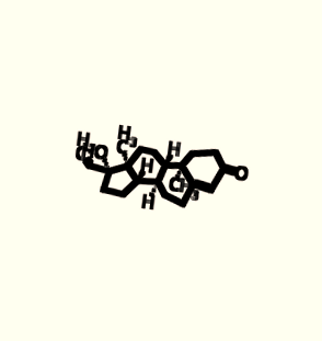 C=C[C@]1(O)CC[C@H]2[C@@H]3CCC4=CC(=O)CC[C@]4(C)[C@H]3CC[C@@]21C